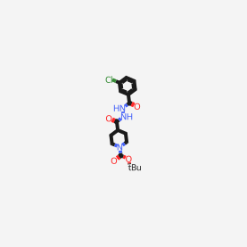 CC(C)(C)OC(=O)N1CCC(C(=O)NNC(=O)c2cccc(Cl)c2)CC1